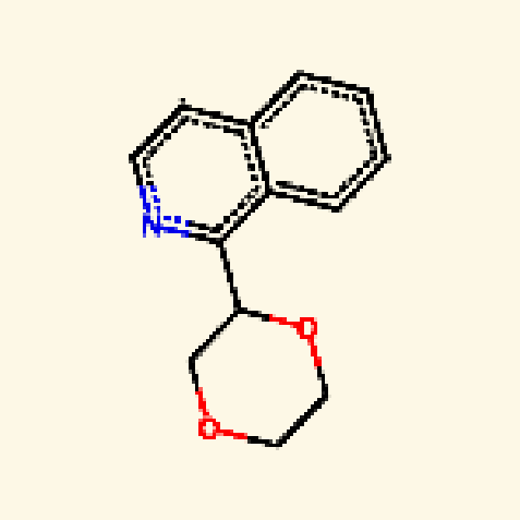 [c]1cnc(C2COCCO2)c2ccccc12